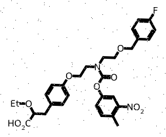 CCOC(Cc1ccc(OCCN(CCOCc2ccc(F)cc2)C(=O)Oc2ccc(C)c([N+](=O)[O-])c2)cc1)C(=O)O